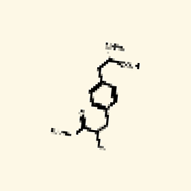 CC(=O)N[C@@H](Cc1ccc(CC(C(C)=O)C(=O)OC(C)(C)C)cc1)C(=O)O